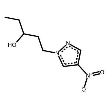 CCC(O)CCn1cc([N+](=O)[O-])cn1